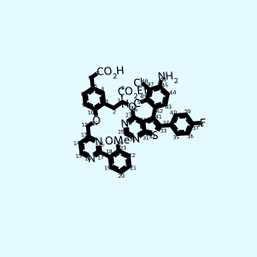 CCOC(=O)[C@@H](Cc1cc(CC(=O)O)ccc1OCc1ccnc(-c2ccccc2OC)n1)Oc1ncnc2sc(-c3ccc(F)cc3)c(-c3ccc(N)c(Cl)c3C)c12